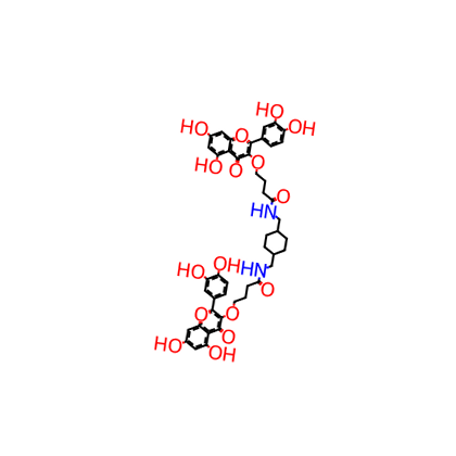 O=C(CCCOc1c(-c2ccc(O)c(O)c2)oc2cc(O)cc(O)c2c1=O)NCC1CCC(CNC(=O)CCCOc2c(-c3ccc(O)c(O)c3)oc3cc(O)cc(O)c3c2=O)CC1